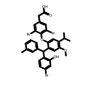 COc1cc(C(c2cccc(C)c2)c2ccc(Br)cc2O)c(Oc2c(Br)cc(CC(=O)O)cc2Br)cc1C(C)C